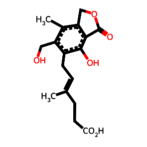 C/C(=C\Cc1c(O)c2c(c(C)c1CO)COC2=O)CCC(=O)O